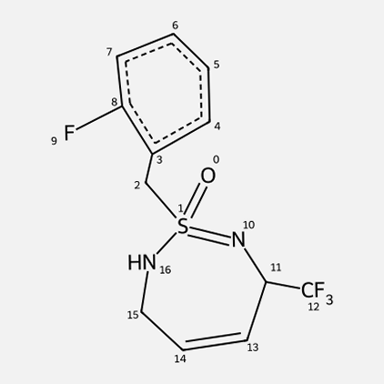 O=S1(Cc2ccccc2F)=NC(C(F)(F)F)C=CCN1